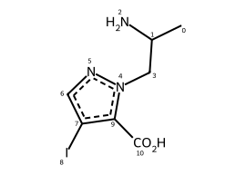 CC(N)Cn1ncc(I)c1C(=O)O